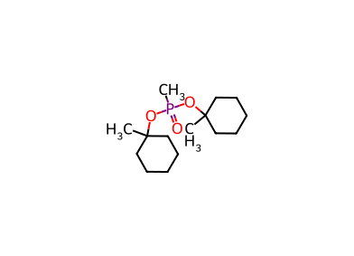 CC1(OP(C)(=O)OC2(C)CCCCC2)CCCCC1